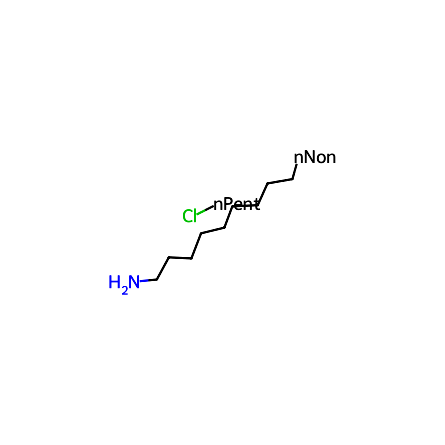 CCCCCCCCCCCCCCCCCCN.CCCCCCl